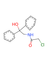 O=C(CCl)NCC(O)(c1ccccc1)c1ccccc1